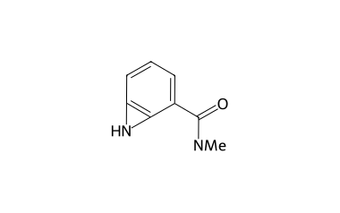 CNC(=O)c1cccc2c1N2